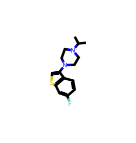 CC(C)N1CCN(c2csc3cc(F)ccc23)CC1